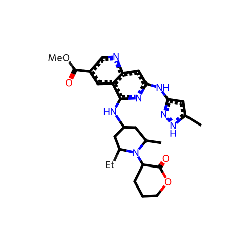 CCC1CC(Nc2nc(Nc3cc(C)[nH]n3)cc3ncc(C(=O)OC)cc23)CC(C)N1C1CCCOC1=O